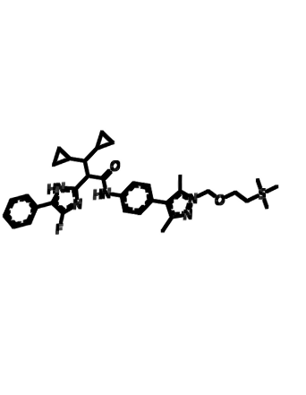 Cc1nn(COCCS(C)(C)C)c(C)c1-c1ccc(NC(=O)C(c2nc(F)c(-c3ccccc3)[nH]2)C(C2CC2)C2CC2)cc1